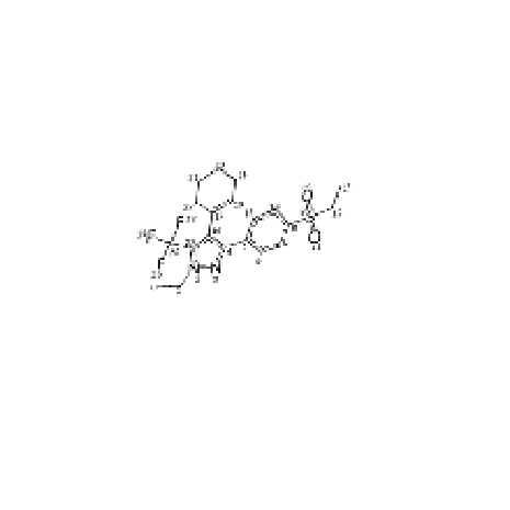 CCn1nc(-c2ccc(S(=O)(=O)CC)cc2)c(C2=CCCCC2)c1C(F)(F)F